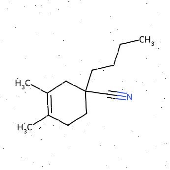 CCCCC1(C#N)CCC(C)=C(C)C1